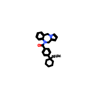 CC(=O)NC1(c2ccc(C(=O)N3Cc4cccn4Cc4ccccc43)cc2)CCCCC1